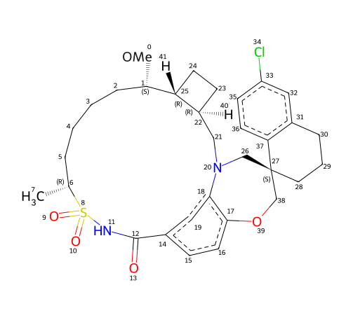 CO[C@H]1CCCC[C@@H](C)S(=O)(=O)NC(=O)c2ccc3c(c2)N(C[C@@H]2CC[C@H]21)C[C@@]1(CCCc2cc(Cl)ccc21)CO3